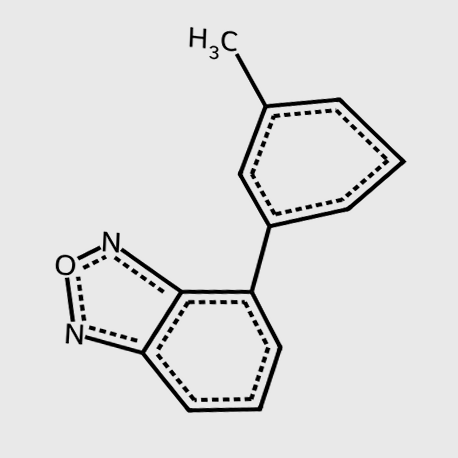 Cc1cccc(-c2cccc3nonc23)c1